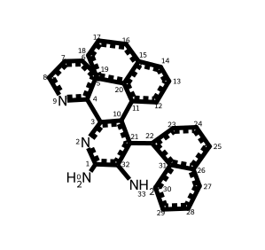 Nc1nc(-c2ccccn2)c(-c2cccc3ccccc23)c(-c2cccc3ccccc23)c1N